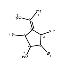 N#CC(C#N)=C1C(F)C(O)C(Br)C1F